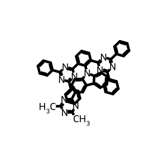 Cc1nc(C)nc(-c2ccc3c(c2)c2ccccc2n3-c2c(-c3nc(-c4ccccc4)nc(-c4ccccc4)n3)cccc2-c2nc(-c3ccccc3)nc(-c3ccccc3)n2)n1